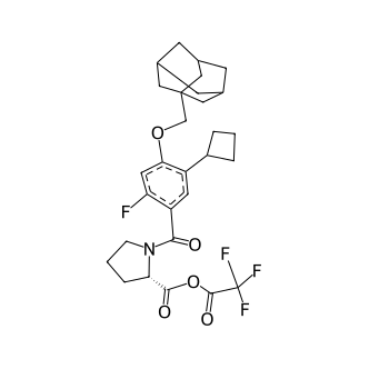 O=C(OC(=O)C(F)(F)F)[C@@H]1CCCN1C(=O)c1cc(C2CCC2)c(OCC23CC4CC(CC(C4)C2)C3)cc1F